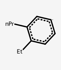 CCCc1c[c]ccc1CC